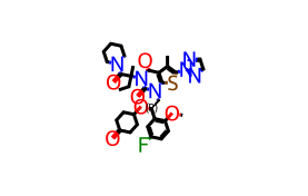 CCC(C)(C(=O)N1CCCCC1)n1c(=O)c2c(C)c(-n3nccn3)sc2n(C[C@H](OC2CCC(=O)CC2)c2cc(F)ccc2OC)c1=O